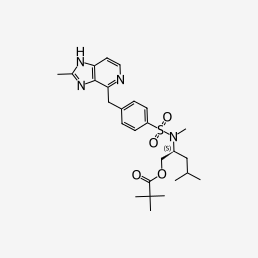 Cc1nc2c(Cc3ccc(S(=O)(=O)N(C)[C@H](COC(=O)C(C)(C)C)CC(C)C)cc3)nccc2[nH]1